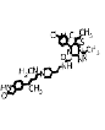 C=N/C(=C\C=C(/C)c1ccc2c(c1)CC(=O)N2)N1CCC(CCNC(=O)C[C@@H]2N=C(c3ccc(Cl)cc3)c3c(sc(C)c3C)-n3c(C)nnc32)CC1